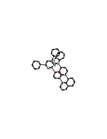 c1ccc(-c2cc(-c3ccccc3)nc(-c3ccc(-c4cccc5cccc(-c6ccc(-n7nnc8ccccc87)cc6)c45)cc3)n2)cc1